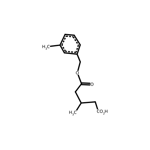 Cc1cccc(COC(=O)CC(C)CC(=O)O)c1